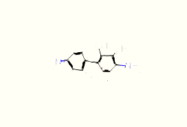 C.Cc1c(N)ccc(-c2ccc(N)cc2)c1C